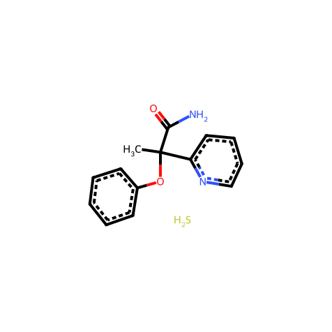 CC(Oc1ccccc1)(C(N)=O)c1ccccn1.S